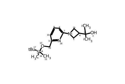 CC(C)(O)C1CN(c2cccc(CO[Si](C)(C)C(C)(C)C)n2)C1